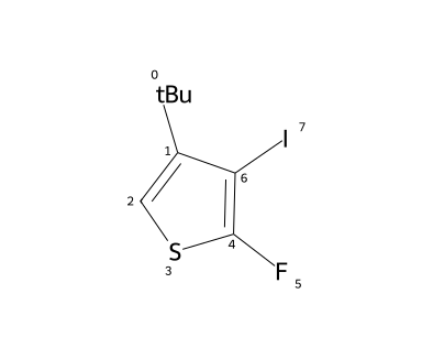 CC(C)(C)c1csc(F)c1I